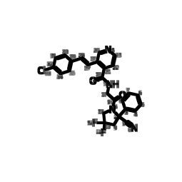 N#CC1(c2ccccc2)CC(F)(F)CN1C(=O)CNC(=O)c1ccncc1C=Cc1ccc(Cl)cc1